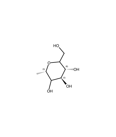 C[C@@H]1OC(CO)[C@H](O)[C@@H](O)C1O